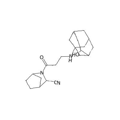 N#CC1C2CCC(C2)N1C(=O)CCNC12CC3CC(C1)C(O)C(C3)C2